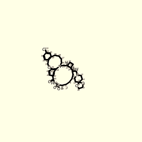 C[C@@H]1[C@@H](C)CCC[C@](O)(CN2CCC3(CC2)OCCO3)[C@@H]2CC[C@H]2CN2CCCCc3cc(Cl)ccc3COc3ccc(cc32)C(=O)NS1(=O)=O